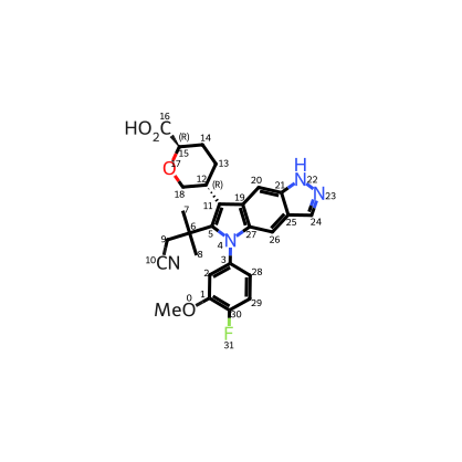 COc1cc(-n2c(C(C)(C)CC#N)c([C@H]3CC[C@H](C(=O)O)OC3)c3cc4[nH]ncc4cc32)ccc1F